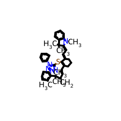 C=C(/C=C/C1=C(Sc2nnnn2-c2ccccc2)C(=C/C=C2/N(C)c3ccccc3C2(C)C)/CCC1)C(C)(C)c1ccccc1C